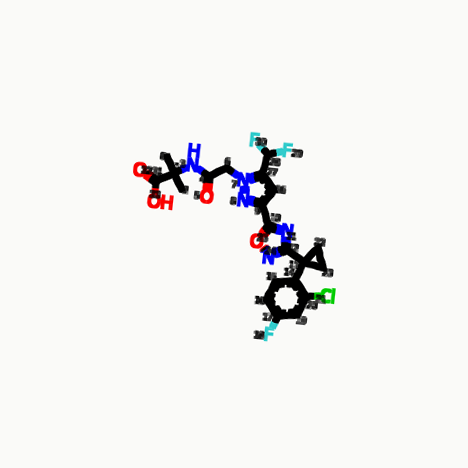 CC(C)(NC(=O)Cn1nc(-c2nc(C3(c4ccc(F)cc4Cl)CC3)no2)cc1C(F)F)C(=O)O